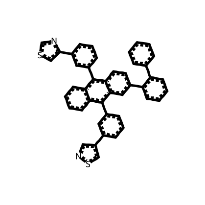 c1ccc(-c2ccccc2-c2ccc3c(-c4cccc(-c5cscn5)c4)c4ccccc4c(-c4cccc(-c5cnsc5)c4)c3c2)cc1